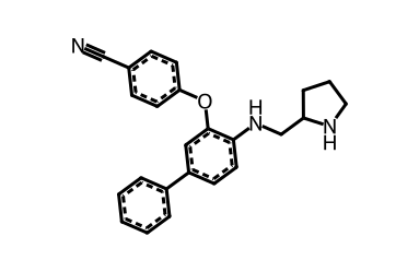 N#Cc1ccc(Oc2cc(-c3ccccc3)ccc2NCC2CCCN2)cc1